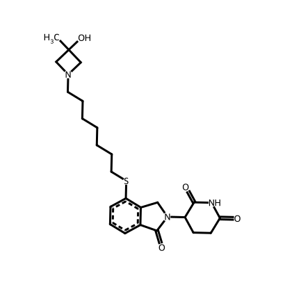 CC1(O)CN(CCCCCCCSc2cccc3c2CN(C2CCC(=O)NC2=O)C3=O)C1